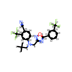 CC(C)(C)CN(Cc1noc(-c2cccc(C(F)(F)F)c2)n1)c1ccc(C#N)c(C(F)(F)F)c1